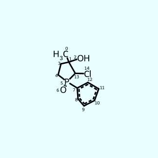 CC1(O)CCP(=O)(c2ccccc2)C1Cl